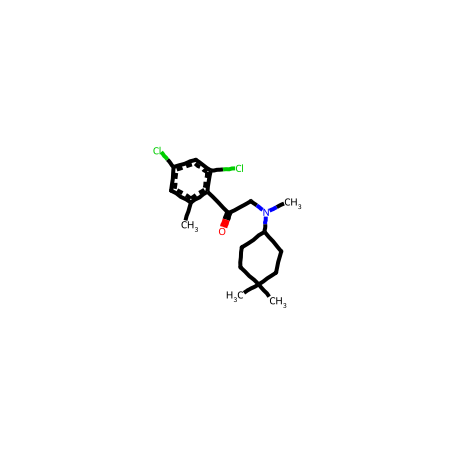 Cc1cc(Cl)cc(Cl)c1C(=O)CN(C)C1CCC(C)(C)CC1